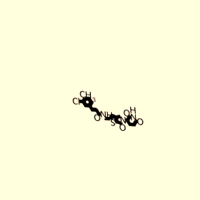 Cc1ccc(C=CC(=O)NCc2cc3c(s2)C(=O)N(C2CCC(=O)NC2=O)C3)cc1Cl